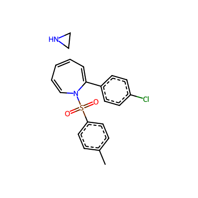 C1CN1.Cc1ccc(S(=O)(=O)N2C=CC=CC=C2c2ccc(Cl)cc2)cc1